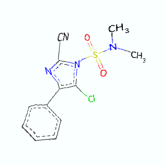 CN(C)S(=O)(=O)n1c(C#N)nc(-c2ccccc2)c1Cl